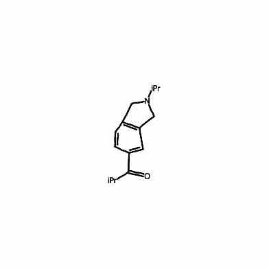 CC(C)C(=O)c1ccc2c(c1)CN(C(C)C)C2